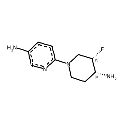 Nc1ccc(N2CC[C@@H](N)[C@@H](F)C2)nn1